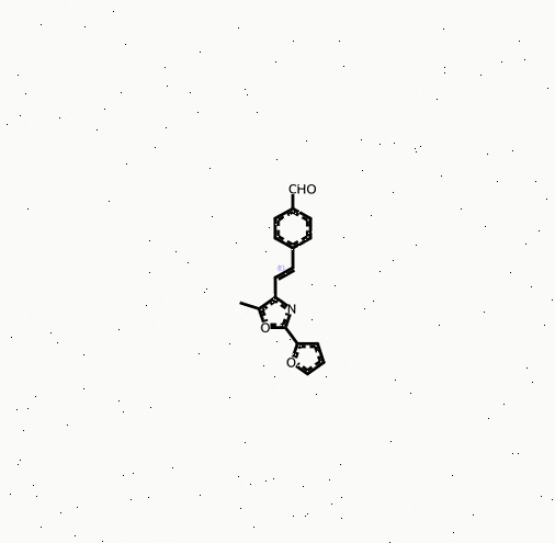 Cc1oc(-c2ccco2)nc1/C=C/c1ccc(C=O)cc1